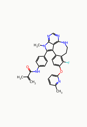 C=C(C)C(=O)Nc1ccc(-c2c3c4c(ncnc4n2C)NCCc2c-3ccc(Oc3cccc(C)n3)c2F)cc1